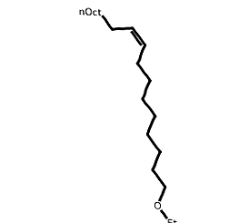 CCCCCCCCC/C=C\CCCCCCCCOCC